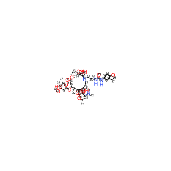 CC[C@H]1OC(=O)[C@H](C)[C@@H](O[C@@H](CCOC)O[C@@H](C)[C@@H](C)O)[C@H](C)[C@@H](O[C@@H]2O[C@H](C)C[C@H](N(C)C)[C@H]2O)[C@](C)(O)C[C@@H](C)CN(CCCNC(=O)Nc2ccc3c(c2)CCO3)[C@H](C)[C@@H](O)[C@]1(C)O